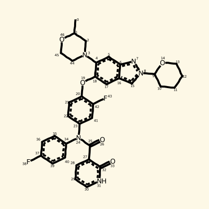 CC1CN(c2cc3nn(C4CCCCO4)cc3cc2Oc2ccc(N(C(=O)c3ccc[nH]c3=O)c3ccc(F)cc3)cc2F)CCO1